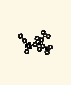 c1ccc(-c2ccc(-c3nc(-c4ccccc4)nc(-c4cc(-c5ccccc5)c(-n5c6ccc(C7c8ccccc8-c8ccccc87)cc6c6cc(-n7c8ccccc8c8ccccc87)ccc65)c(-c5ccccc5)c4)n3)cc2)cc1